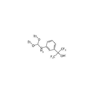 CCOC(OCC)[SiH2]c1cccc(C(O)(C(F)(F)F)C(F)(F)F)c1